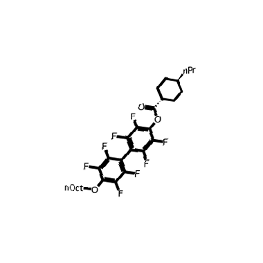 CCCCCCCCOc1c(F)c(F)c(-c2c(F)c(F)c(OC(=O)[C@H]3CC[C@H](CCC)CC3)c(F)c2F)c(F)c1F